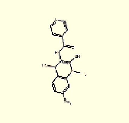 Cc1ccc2c(c1)N(C)C(O)=C(NC(=O)c1ccncc1)C2O